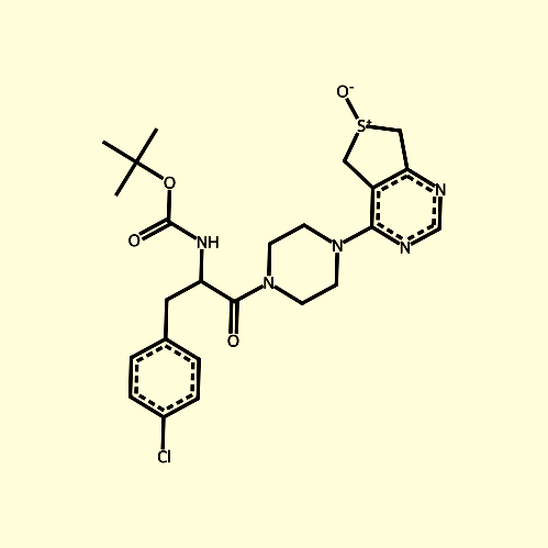 CC(C)(C)OC(=O)NC(Cc1ccc(Cl)cc1)C(=O)N1CCN(c2ncnc3c2C[S+]([O-])C3)CC1